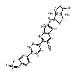 CS(C)(=O)=Nc1ccc(-c2ncc(-c3nc4[nH]c(O[C@@H]5CO[C@H]6[C@@H]5OC[C@H]6O)nc4cc3Cl)cn2)cc1